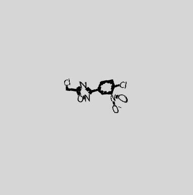 O=[N+]([O-])c1cc(-c2noc(CCl)n2)ccc1Cl